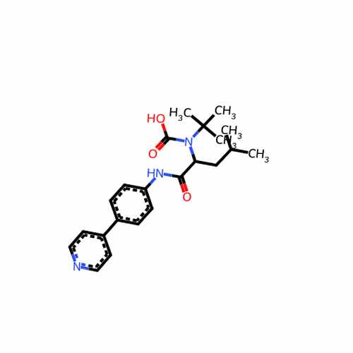 CC(C)CC(C(=O)Nc1ccc(-c2ccncc2)cc1)N(C(=O)O)C(C)(C)C